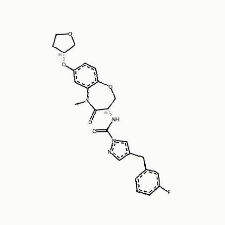 CN1C(=O)[C@@H](NC(=O)n2cc(Cc3cccc(F)c3)cn2)COc2ccc(O[C@@H]3CCOC3)cc21